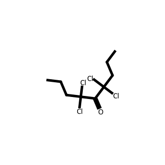 CCCC(Cl)(Cl)C(=O)C(Cl)(Cl)CCC